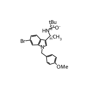 COc1ccc(Cn2cc([C@@H](C)N[S@@+]([O-])C(C)(C)C)c3ccc(Br)cc32)cc1